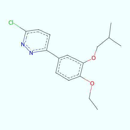 CCOc1ccc(-c2ccc(Cl)nn2)cc1OCC(C)C